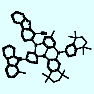 Cc1cc2c3c(c1)N(c1ccc4c(sc5ccccc54)c1C(C)(C)C)c1cc(-n4c5ccccc5c5cccc(C)c54)ccc1B3c1cc3c(cc1N2c1ccc2c(c1)C(C)(C)CCC2(C)C)C(C)(C)CCC3(C)C